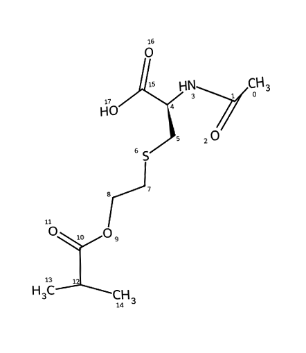 CC(=O)N[C@@H](CSCCOC(=O)C(C)C)C(=O)O